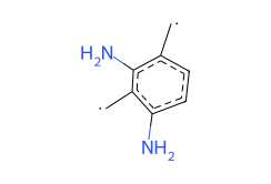 [CH2]c1ccc(N)c([CH2])c1N